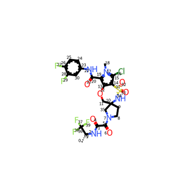 C[C@@H](NC(=O)C(=O)N1CCC2(COc3c(c(Cl)n(C)c3C(=O)Nc3ccc(F)c(F)c3)S(=O)(=O)N2)C1)C(F)(F)F